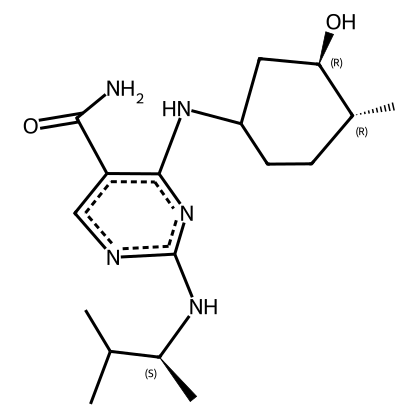 CC(C)[C@H](C)Nc1ncc(C(N)=O)c(NC2CC[C@@H](C)[C@H](O)C2)n1